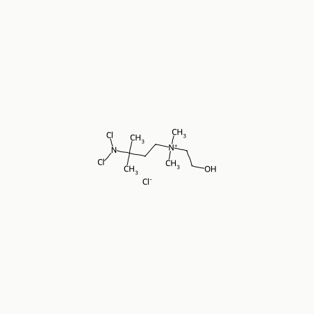 CC(C)(CC[N+](C)(C)CCO)N(Cl)Cl.[Cl-]